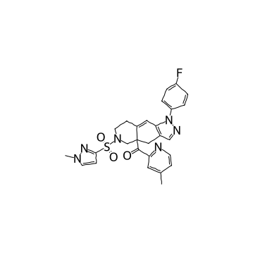 Cc1ccnc(C(=O)C23Cc4cnn(-c5ccc(F)cc5)c4C=C2CCN(S(=O)(=O)c2ccn(C)n2)C3)c1